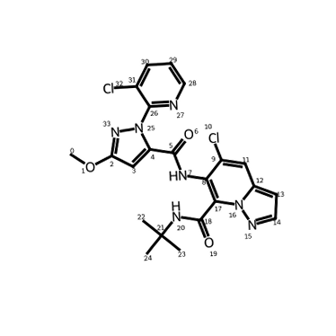 COc1cc(C(=O)Nc2c(Cl)cc3ccnn3c2C(=O)NC(C)(C)C)n(-c2ncccc2Cl)n1